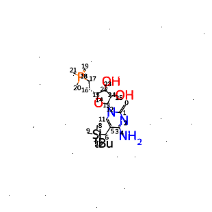 C=C1N=C(N)C(C[Si](C)(C)C(C)(C)C)=CN1[C@@H]1O[C@H](CCP(=C)(C)C)[C@@H](O)[C@H]1O